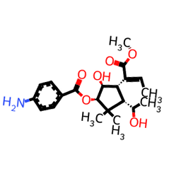 C/C=C(/C(=O)OC)[C@H]1[C@H](O)[C@H](OC(=O)c2ccc(N)cc2)C(C)(C)[C@H]1C(C)O